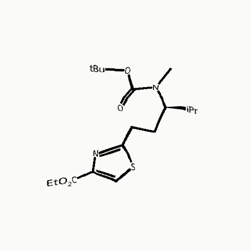 CCOC(=O)c1csc(CC[C@H](C(C)C)N(C)C(=O)OC(C)(C)C)n1